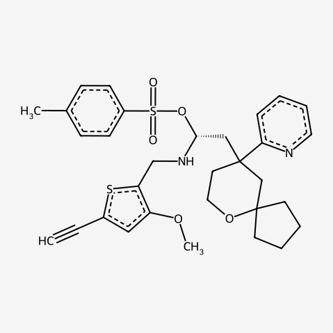 C#Cc1cc(OC)c(CN[C@@H](CC2(c3ccccn3)CCOC3(CCCC3)C2)OS(=O)(=O)c2ccc(C)cc2)s1